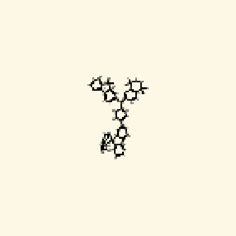 CC1(C)CCC(C)(C)c2cc(N(c3ccc(-c4ccc5c(c4)C4(c6ccccc6-5)C5CC6CC(C5)C4C6)cc3)c3ccc4c(c3)C(C)(C)c3ccccc3-4)ccc21